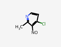 Cc1nccc(Cl)c1N=O